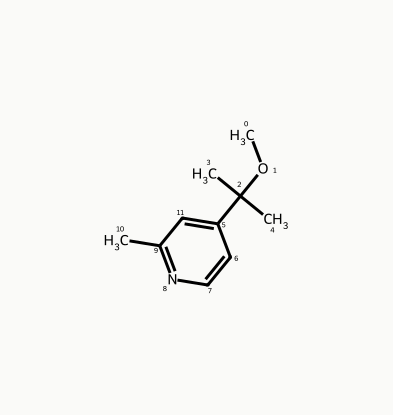 COC(C)(C)c1ccnc(C)c1